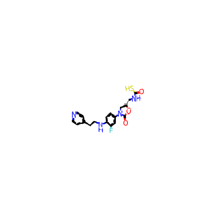 O=C(S)NC[C@H]1CN(c2ccc(NCCc3ccncc3)c(F)c2)C(=O)O1